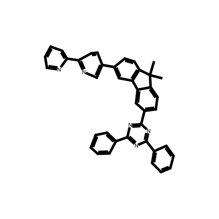 CC1(C)c2ccc(-c3ccc(-c4ccccn4)nc3)cc2-c2cc(-c3nc(-c4ccccc4)nc(-c4ccccc4)n3)ccc21